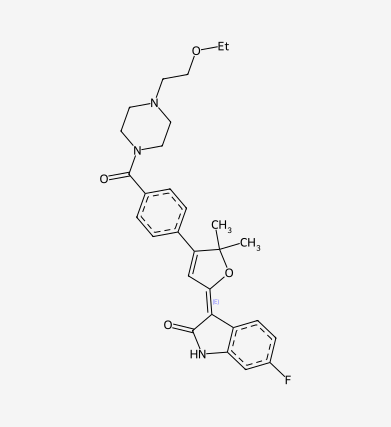 CCOCCN1CCN(C(=O)c2ccc(C3=C/C(=C4\C(=O)Nc5cc(F)ccc54)OC3(C)C)cc2)CC1